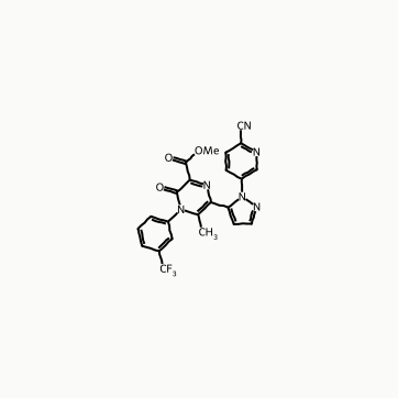 COC(=O)c1nc(-c2ccnn2-c2ccc(C#N)nc2)c(C)n(-c2cccc(C(F)(F)F)c2)c1=O